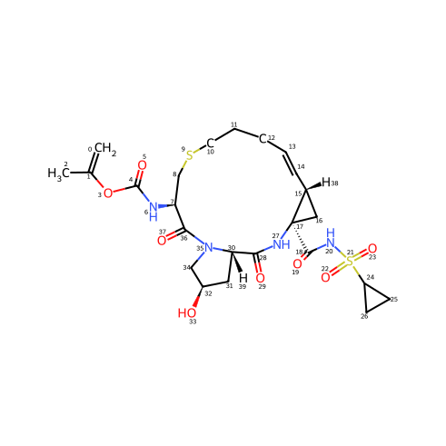 C=C(C)OC(=O)N[C@H]1CSCCC/C=C\[C@@H]2C[C@@]2(C(=O)NS(=O)(=O)C2CC2)NC(=O)[C@@H]2C[C@@H](O)CN2C1=O